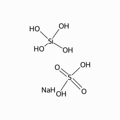 O=S(=O)(O)O.O[Si](O)(O)O.[NaH]